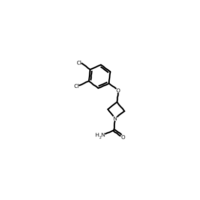 NC(=O)N1CC(Oc2ccc(Cl)c(Cl)c2)C1